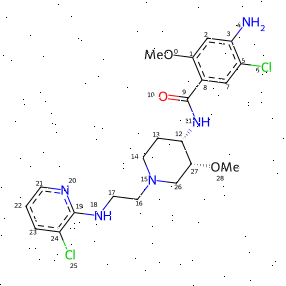 COc1cc(N)c(Cl)cc1C(=O)N[C@H]1CCN(CCNc2ncccc2Cl)C[C@H]1OC